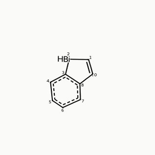 [C]1=[CH][BiH][c]2ccccc21